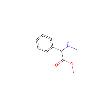 CNC(C(=O)OC)c1ccccc1